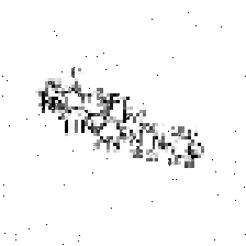 Cc1c(-c2[nH]c3cnc(N4CCN(C5CCOCC5)C[C@H]4C)c(F)c3c2C(C)C)cn2ncnc2c1C